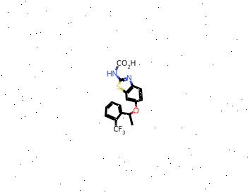 CC(Oc1ccc2nc(NC(=O)O)sc2c1)c1ccccc1C(F)(F)F